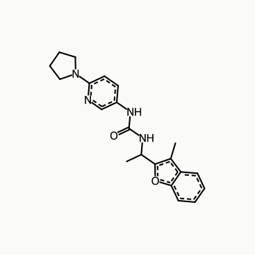 Cc1c(C(C)NC(=O)Nc2ccc(N3CCCC3)nc2)oc2ccccc12